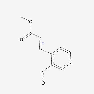 COC(=O)/C=C/c1ccccc1[C]=O